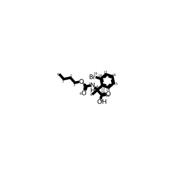 CCCCOC(=O)NC(C)(C(=O)O)c1ccccc1Br